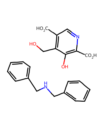 O=C(O)c1cnc(C(=O)O)c(O)c1CO.c1ccc(CNCc2ccccc2)cc1